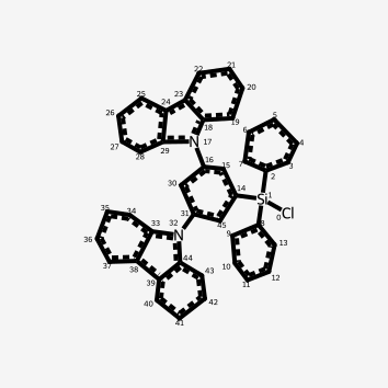 Cl[Si](c1ccccc1)(c1ccccc1)c1cc(-n2c3ccccc3c3ccccc32)cc(-n2c3ccccc3c3ccccc32)c1